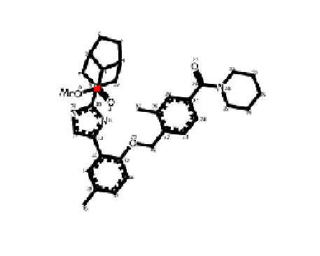 COC(=O)C1C2CCC1CN(c1nc(-c3cc(C)ccc3OCc3ccc(C(=O)N4CCCCC4)cc3C)cs1)C2